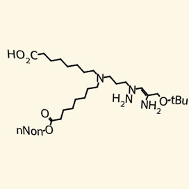 CCCCCCCCCOC(=O)CCCCCCCN(CCCCCCCC(=O)O)CCCN(N)/C=C(\N)COC(C)(C)C